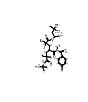 CCCC(CC(C)(O)C(F)(F)F)OC(=O)C(F)(CC)CC(CC(C)(C)C(=O)OC(C)(C)C(C)(C)C)C(=O)N(C(=O)c1ccc(C)cc1)C(C)C